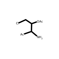 CC(=O)OC(CCl)C(N)C(C)=O